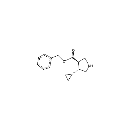 O=C(OCc1ccccc1)[C@H]1CNC[C@@H]1C1CC1